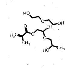 C=C(C)C(=O)OCC(C)OCC(C)O.OCCOCCO